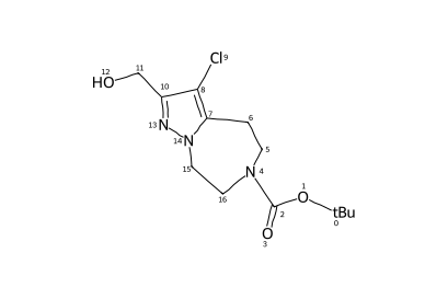 CC(C)(C)OC(=O)N1CCc2c(Cl)c(CO)nn2CC1